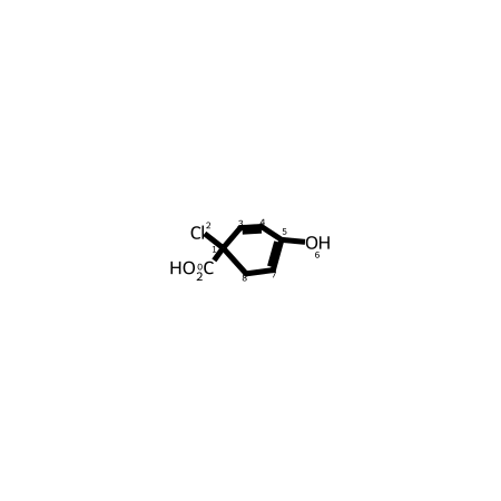 O=C(O)C1(Cl)C=CC(O)=CC1